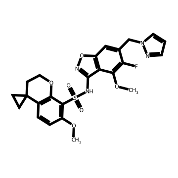 COc1ccc2c(c1S(=O)(=O)Nc1noc3cc(Cn4cccn4)c(F)c(OC)c13)OCCC21CC1